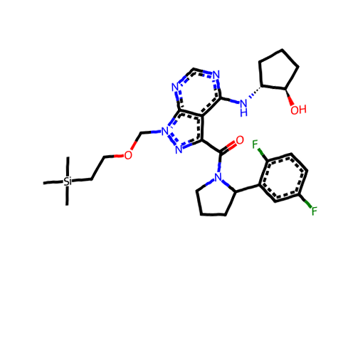 C[Si](C)(C)CCOCn1nc(C(=O)N2CCCC2c2cc(F)ccc2F)c2c(N[C@@H]3CCC[C@H]3O)ncnc21